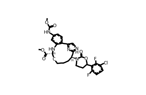 COC(=O)Nc1ccc2c(c1)N[C@@H](C(=O)OC)CCCC[C@H](N1CCC(c3c(F)ccc(Cl)c3F)OC1=O)c1nc-2c[nH]1